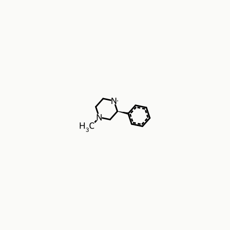 CN1CC[N][C@@H](c2ccccc2)C1